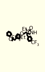 CCOC(=O)C(C)(Cc1ccc(OCCC2(Cc3ccc(C(F)(F)F)cc3)CNC(=O)N2CC)cc1)Oc1ccccc1